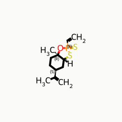 C=C[P@]1(=S)O[C@]2(C)CC[C@H](C(=C)C)C[C@H]2S1